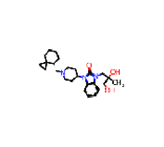 CC(O)(CO)Cn1c(=O)n(C2CCN(C[C@H]3CCCCC34CC4)CC2)c2ccccc21